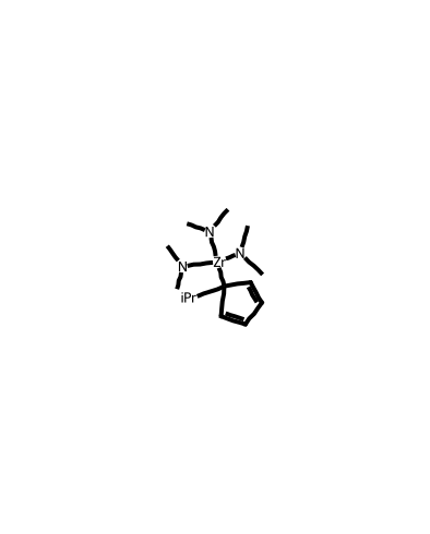 CC(C)[C]1([Zr]([N](C)C)([N](C)C)[N](C)C)C=CC=C1